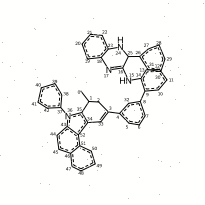 CC1CC(c2cccc(-c3ccccc3NC3=Nc4ccccc4NC3c3ccccc3)c2)=Cc2c1n(-c1ccccc1)c1ccc3ccccc3c21